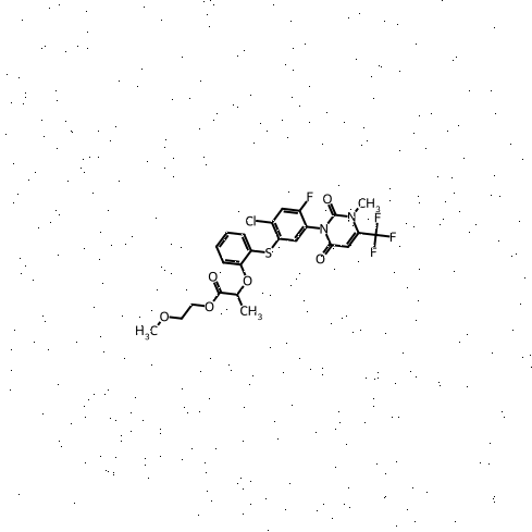 COCCOC(=O)C(C)Oc1ccccc1Sc1cc(-n2c(=O)cc(C(F)(F)F)n(C)c2=O)c(F)cc1Cl